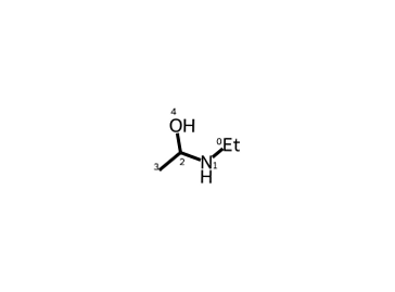 CCNC(C)O